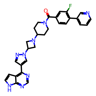 O=C(c1ccc(-c2cccnc2)c(F)c1)N1CCC(N2CC(n3cc(-c4ncnc5[nH]ccc45)cn3)C2)CC1